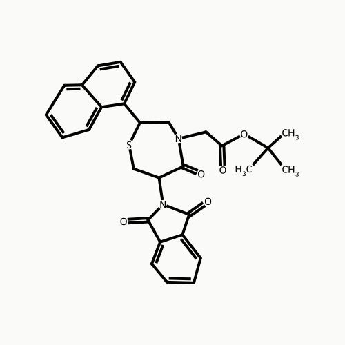 CC(C)(C)OC(=O)CN1CC(c2cccc3ccccc23)SCC(N2C(=O)c3ccccc3C2=O)C1=O